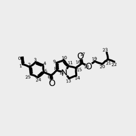 C=Cc1ccc(C(=O)c2ccc3n2CCC3C(=O)OCCC(C)C)cc1